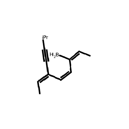 BC(/C=C\C(C#CC(C)C)=C/C)=C/C